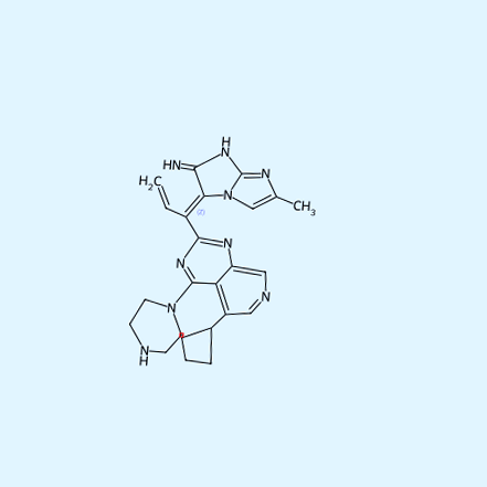 C=C/C(c1nc(N2CCNCC2)c2c(C3CCC3)cncc2n1)=c1\c(=N)[nH]c2nc(C)cn12